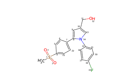 CS(=O)(=O)c1ccc(-c2cc(CO)cn2-c2ccc(F)cc2)cc1